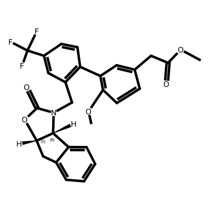 COC(=O)Cc1ccc(OC)c(-c2ccc(C(F)(F)F)cc2CN2C(=O)O[C@H]3Cc4ccccc4[C@H]32)c1